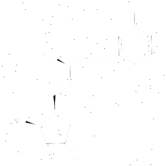 CC(=O)O[C@H](C=C[C@H]1CC(=O)C[C@H]1O)COc1cccc(C(F)(F)F)c1